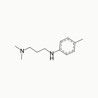 Cc1ccc(NCCCN(C)C)cc1